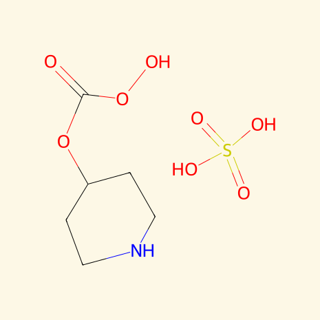 O=C(OO)OC1CCNCC1.O=S(=O)(O)O